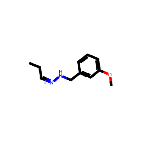 CC/C=N\NCc1cccc(OC)c1